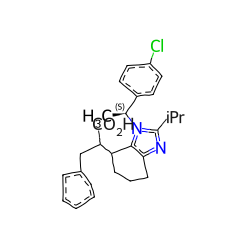 CC(C)c1nc2c(n1[C@@H](C)c1ccc(Cl)cc1)C(C(Cc1ccccc1)C(=O)O)CCC2